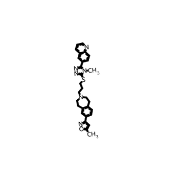 Cc1cc(-c2ccc3c(c2)CCN(CCCSc2nnc(-c4ccc5ncccc5c4)n2C)CC3)no1